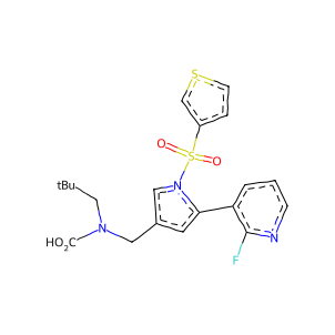 CC(C)(C)CN(Cc1cc(-c2cccnc2F)n(S(=O)(=O)c2ccsc2)c1)C(=O)O